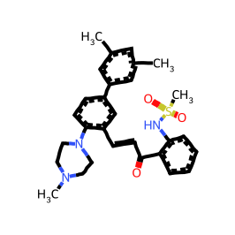 Cc1cc(C)cc(-c2ccc(N3CCN(C)CC3)c(C=CC(=O)c3ccccc3NS(C)(=O)=O)c2)c1